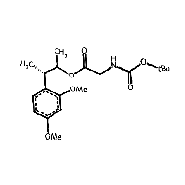 COc1ccc([C@H](C)C(C)OC(=O)CNC(=O)OC(C)(C)C)c(OC)c1